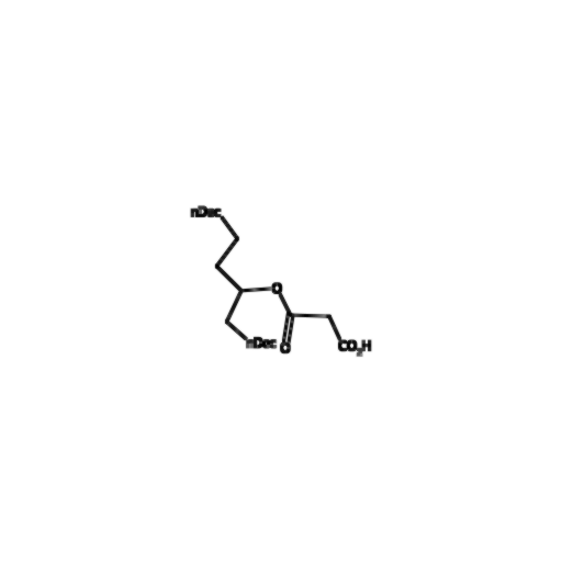 CCCCCCCCCCCCC(CCCCCCCCCCC)OC(=O)CC(=O)O